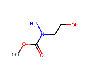 CC(C)(C)OC(=O)N(N)CCO